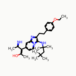 CCOc1ccc(CCc2nc3cc(/C(C(C)=N)=C(\C)O)ccn3c2NC(C)(C)CC(C)(C)C)cc1